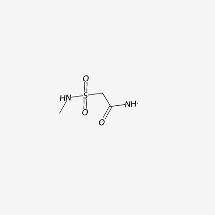 CNS(=O)(=O)CC([NH])=O